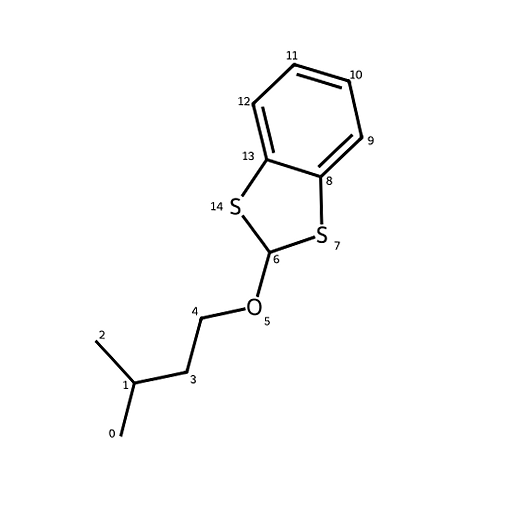 CC(C)CCOC1Sc2ccccc2S1